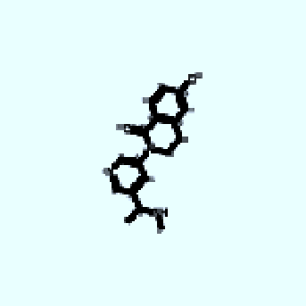 CNC(C)c1cncc(N2CCc3cc(Cl)ccc3C2=O)c1